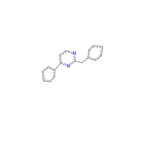 c1ccc(Cc2nccc(-c3ccccc3)n2)cc1